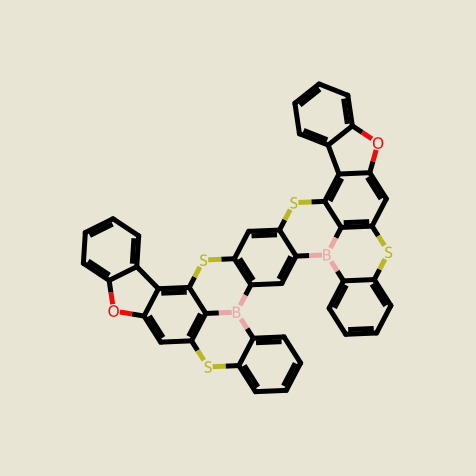 c1ccc2c(c1)Sc1cc3oc4ccccc4c3c3c1B2c1cc2c(cc1S3)Sc1c3c(cc4oc5ccccc5c14)Sc1ccccc1B23